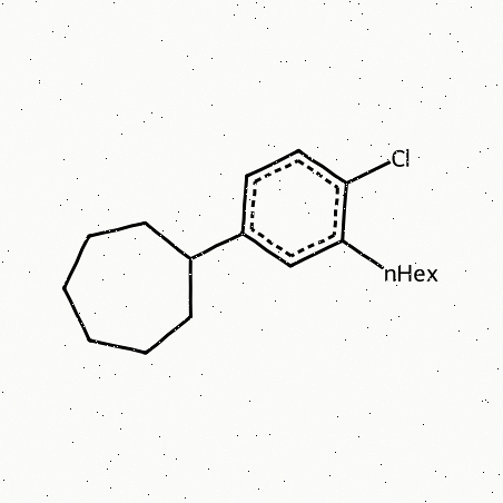 CCCCCCc1cc(C2CCCCCC2)ccc1Cl